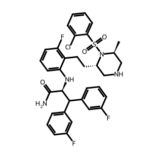 C[C@H]1CNC[C@H](CCc2c(F)cccc2N[C@H](C(N)=O)C(c2cccc(F)c2)c2cccc(F)c2)N1S(=O)(=O)c1ccccc1Cl